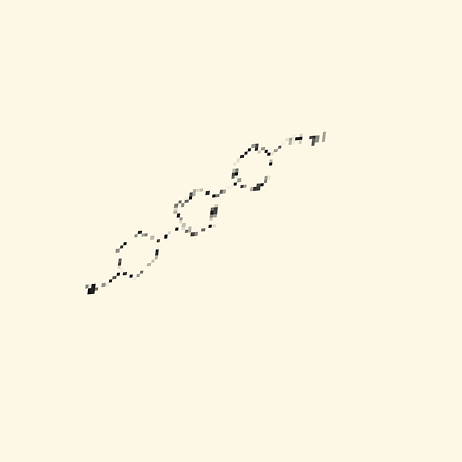 CCCCCCCc1ccc(-c2ccc(C3CCC(CCC)CC3)cc2)cc1